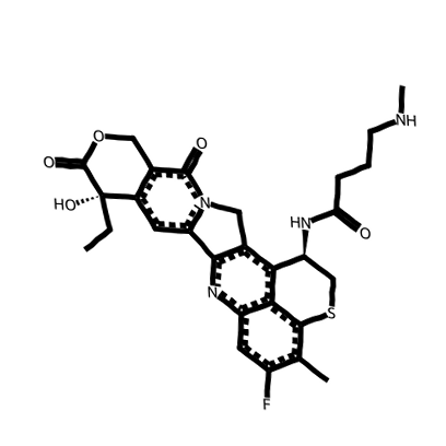 CC[C@@]1(O)C(=O)OCc2c1cc1n(c2=O)Cc2c-1nc1cc(F)c(C)c3c1c2[C@@H](NC(=O)CCCNC)CS3